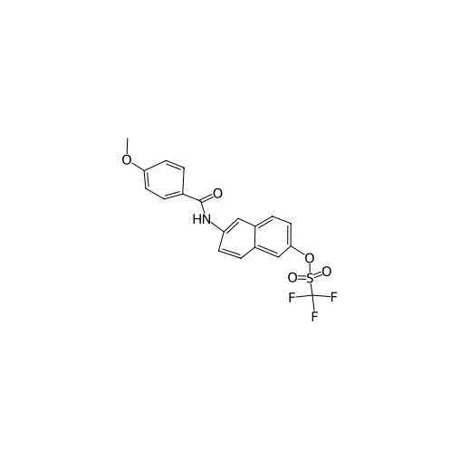 COc1ccc(C(=O)Nc2ccc3cc(OS(=O)(=O)C(F)(F)F)ccc3c2)cc1